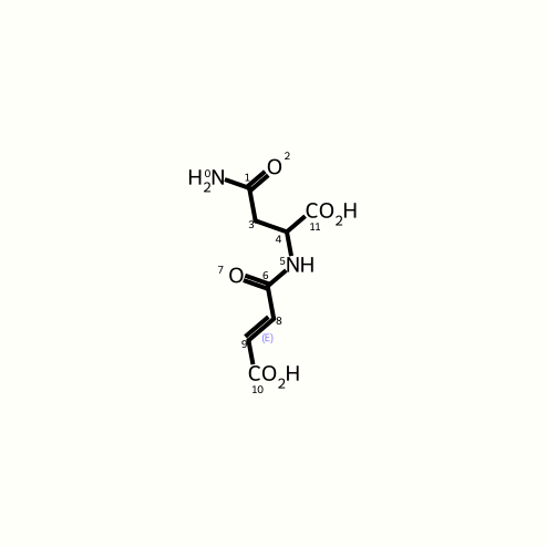 NC(=O)CC(NC(=O)/C=C/C(=O)O)C(=O)O